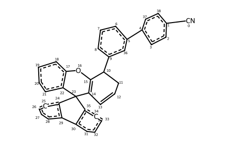 N#Cc1ccc(-c2cccc(C3CC=CC4=C3Oc3ccccc3C43c4ccccc4-c4ccccc43)c2)cc1